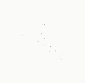 COC(=O)N[C@H](C)Cn1ncc2cnc(Nc3cc4c(cc3OC)CCN(C)C4)nc21